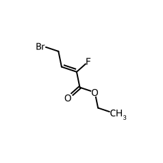 CCOC(=O)C(F)=CCBr